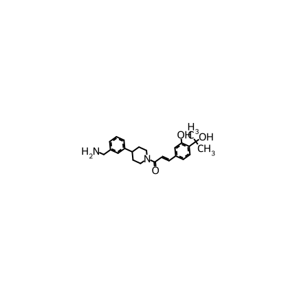 CC(C)(O)c1ccc(C=CC(=O)N2CCC(c3cccc(CN)c3)CC2)cc1O